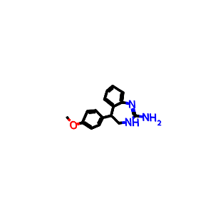 COc1ccc(C2CNC(N)=Nc3ccccc32)cc1